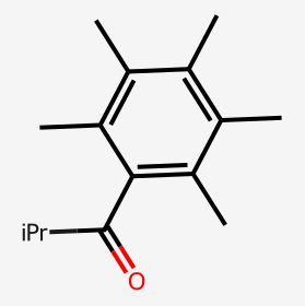 Cc1c(C)c(C)c(C(=O)C(C)C)c(C)c1C